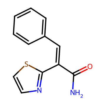 NC(=O)C(=Cc1ccccc1)c1nccs1